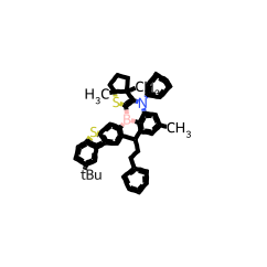 Cc1cc2c3c(c1)N(c1ccccc1)C1=C(SC4(C)CCCC14C)B3c1cc3sc4ccc(C(C)(C)C)cc4c3cc1C2CCc1ccccc1